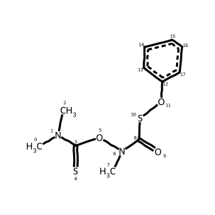 CN(C)C(=S)ON(C)C(=O)SOc1ccccc1